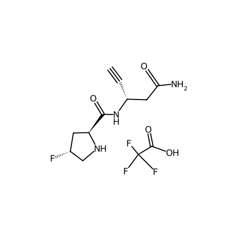 C#C[C@H](CC(N)=O)NC(=O)[C@@H]1C[C@@H](F)CN1.O=C(O)C(F)(F)F